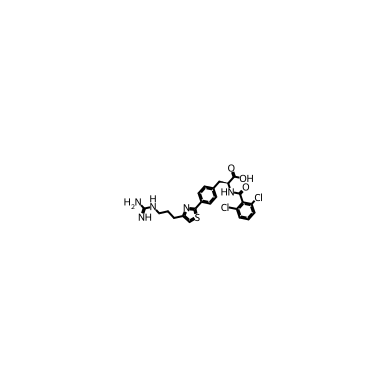 N=C(N)NCCCc1csc(-c2ccc(C[C@H](NC(=O)c3c(Cl)cccc3Cl)C(=O)O)cc2)n1